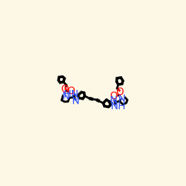 O=C(OCc1ccccc1)N1CCCCC1c1nc2cc(C#CC#Cc3ccc4[nH]c(C5CCCCN5C(=O)OCc5ccccc5)nc4c3)ccc2[nH]1